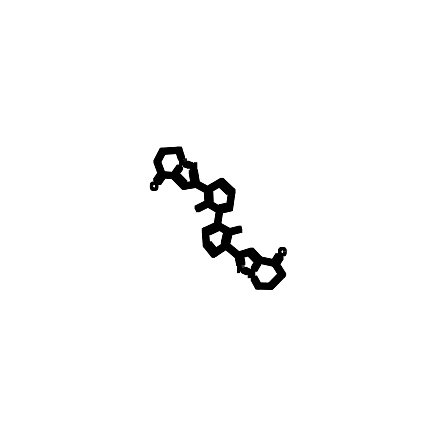 Cc1c(-c2cc3n(n2)CCCC3=O)cccc1-c1cccc(-c2cc3n(n2)CCCC3=O)c1C